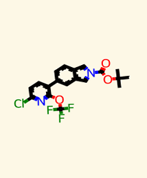 CC(C)(C)OC(=O)n1cc2ccc(-c3ccc(Cl)nc3OC(F)(F)F)cc2c1